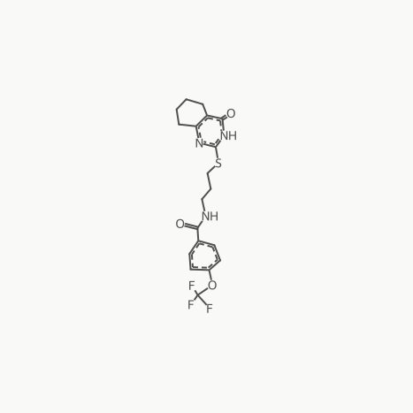 O=C(NCCCSc1nc2c(c(=O)[nH]1)CCCC2)c1ccc(OC(F)(F)F)cc1